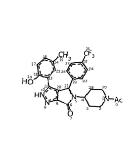 CC(=O)N1CCC(N2C(=O)c3n[nH]c(-c4cc(C)ccc4O)c3C2c2ccc(C(F)(F)F)cc2)CC1